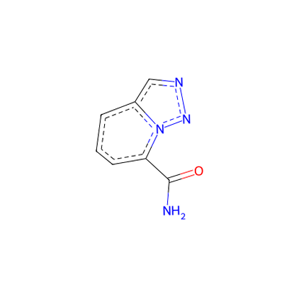 NC(=O)c1cccc2cnnn12